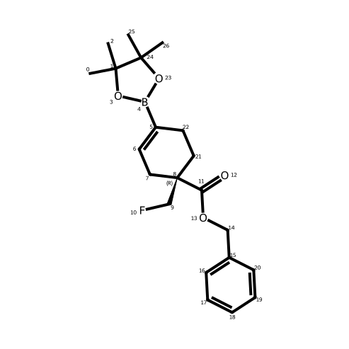 CC1(C)OB(C2=CC[C@@](CF)(C(=O)OCc3ccccc3)CC2)OC1(C)C